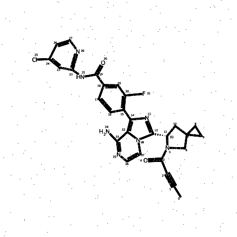 CC#CC(=O)N1CC2(CC2)C[C@H]1c1nc(-c2ccc(C(=O)Nc3cc(Cl)ccn3)cc2F)c2c(N)nccn12